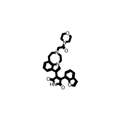 O=C1NC(=O)C(c2cccc3ccoc23)=C1c1cn2c3c(cccc13)CCN(CC(=O)N1CCOCC1)CC2